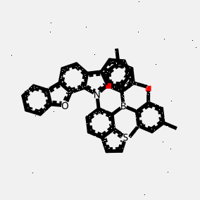 Cc1cc(C)c(B(c2c(C)cc(C)cc2C)c2c(-n3c4ccccc4c4ccc5c6ccccc6oc5c43)ccc3ccsc23)c(C)c1